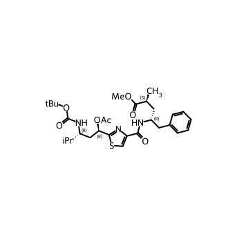 COC(=O)[C@@H](C)C[C@H](Cc1ccccc1)NC(=O)c1csc([C@@H](C[C@@H](NC(=O)OC(C)(C)C)C(C)C)OC(C)=O)n1